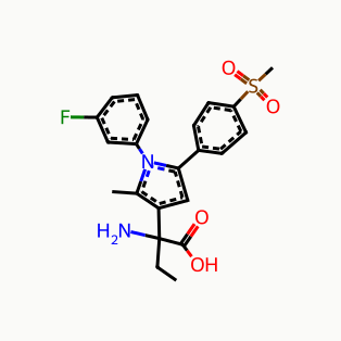 CCC(N)(C(=O)O)c1cc(-c2ccc(S(C)(=O)=O)cc2)n(-c2cccc(F)c2)c1C